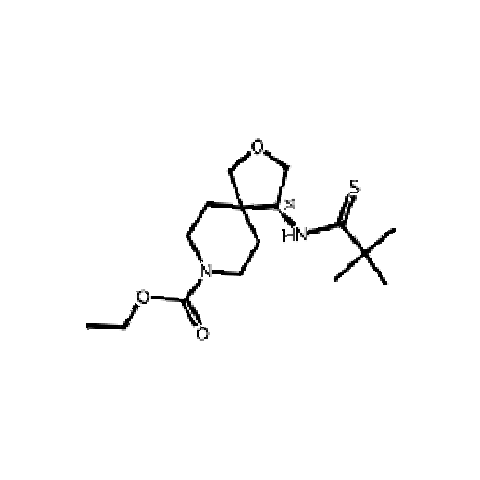 CCOC(=O)N1CCC2(CC1)COC[C@H]2NC(=S)C(C)(C)C